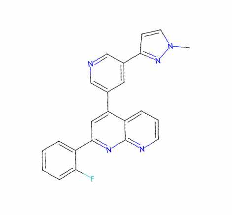 Cn1ccc(-c2cncc(-c3cc(-c4ccccc4F)nc4ncccc34)c2)n1